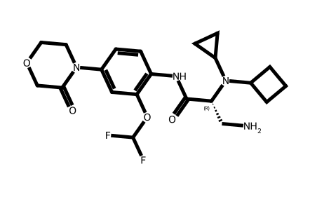 NC[C@H](C(=O)Nc1ccc(N2CCOCC2=O)cc1OC(F)F)N(C1CCC1)C1CC1